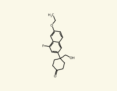 CCOc1ccc2cc(C3(CO)CCC(=O)CC3)cc(F)c2c1